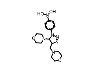 ON(O)c1ccc(N2N=NC(CN3CCOCC3)C2N2CCOCC2)cc1